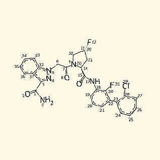 NC(=O)c1nn(CC(=O)N2C[C@H](F)C[C@H]2C(=O)Nc2cccc(-c3ccccc3Cl)c2F)c2ccccc12